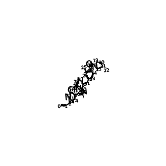 C#CCn1cc(-c2cnc3c(Cc4ccc(C(=O)N5CC[C@H](C)C5)c(C)c4)nccn23)c(C(F)(F)F)n1